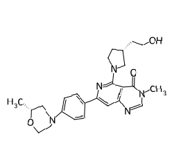 C[C@@H]1CN(c2ccc(-c3cc4ncn(C)c(=O)c4c(N4CC[C@H](CCO)C4)n3)cc2)CCO1